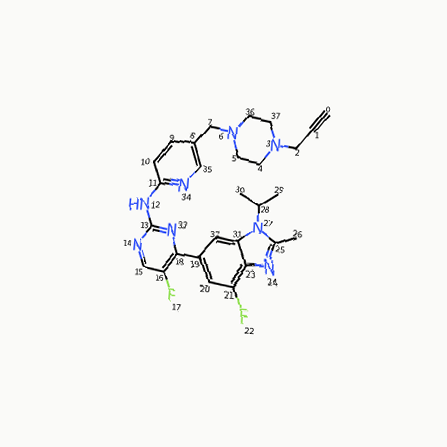 C#CCN1CCN(Cc2ccc(Nc3ncc(F)c(-c4cc(F)c5nc(C)n(C(C)C)c5c4)n3)nc2)CC1